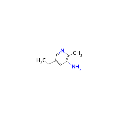 CCc1cnc(C)c(N)c1